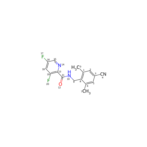 Cc1cc(C#N)cc(C)c1CNC(=O)c1ncc(F)cc1F